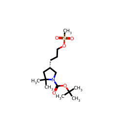 CC(C)(C)OC(=O)N1C[C@@H](CCCOS(C)(=O)=O)CC1(C)C